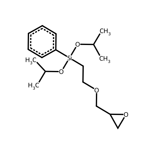 CC(C)O[Si](CCOCC1CO1)(OC(C)C)c1ccccc1